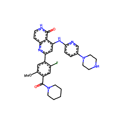 COc1cc(-c2cc(Nc3ccc(N4CCNCC4)cn3)c3c(=O)[nH]ccc3n2)c(F)cc1C(=O)N1CCCCC1